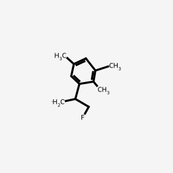 [CH2]C(CF)c1cc(C)cc(C)c1C